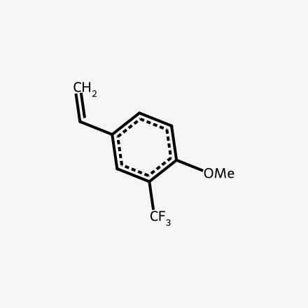 C=Cc1ccc(OC)c(C(F)(F)F)c1